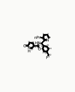 CCCc1cccnc1[C@@H](NC(=O)c1ccc(=O)[nH]c1)c1ccc(CF)cc1